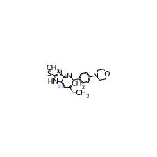 C=C(/C=C1/NC(SC)=N/C1=N/Cc1ccc(N2CCOCC2)cc1)CC